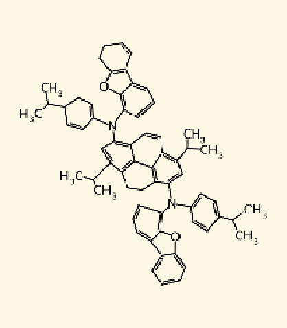 CC(C)c1ccc(N(c2cc(C(C)C)c3ccc4c(N(C5=CCC(C(C)C)C=C5)c5cccc6c7c(oc56)CCC=C7)cc(C(C)C)c5c4c3c2CC5)c2cccc3c2oc2ccccc23)cc1